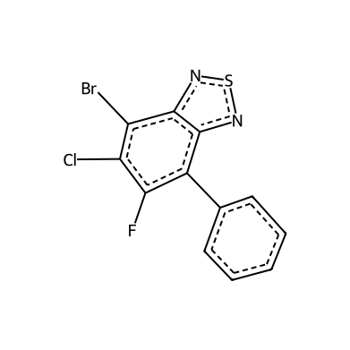 Fc1c(Cl)c(Br)c2nsnc2c1-c1ccccc1